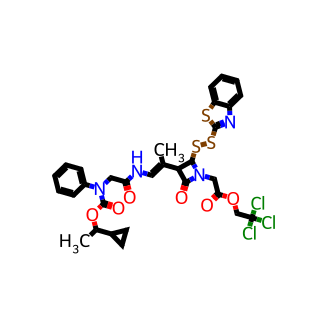 CC(=CNC(=O)CN(C(=O)OC(C)C1CC1)c1ccccc1)C1C(=O)N(CC(=O)OCC(Cl)(Cl)Cl)C1SSc1nc2ccccc2s1